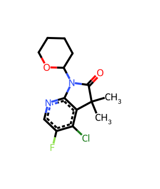 CC1(C)C(=O)N(C2CCCCO2)c2ncc(F)c(Cl)c21